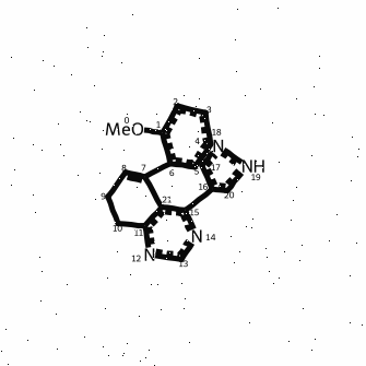 COc1ccccc1C1=CCCc2ncnc(-c3cn[nH]c3)c21